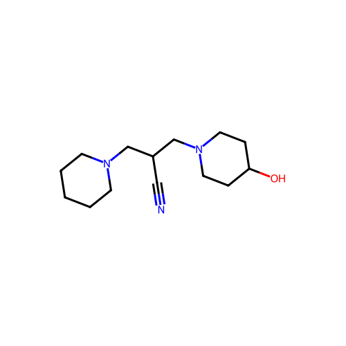 N#CC(CN1CCCCC1)CN1CCC(O)CC1